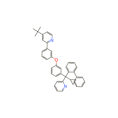 CC(C)(C)c1ccnc(-c2cccc(Oc3cccc(C(c4ccccn4)(c4ccccc4-c4ccccc4)C4CC4)c3)c2)c1